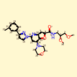 COCC(CNC(=O)c1cc2nc(-n3ccc(-c4cccc(C)c4)n3)cc(N3CCOCC3)c2o1)OC